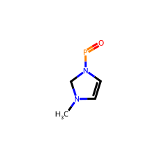 CN1C=CN(P=O)C1